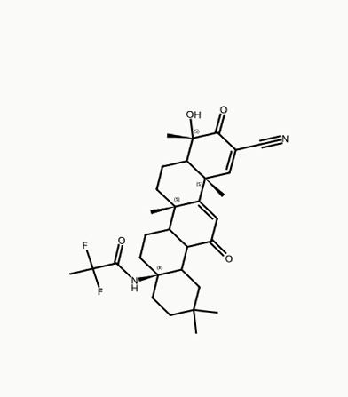 CC1(C)CC[C@]2(NC(=O)C(C)(F)F)CCC3C(C(=O)C=C4[C@@]5(C)C=C(C#N)C(=O)[C@@](C)(O)C5CC[C@]43C)C2C1